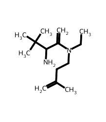 C=C(C)CCN(CC)C(=C)C(N)C(C)(C)C